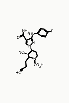 C#CCCC1[C@@H](C#N)[C@@H](n2cc(C(N)=O)c(Nc3ccc(F)cc3)n2)CCN1C(=O)O